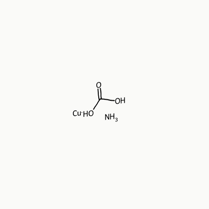 N.O=C(O)O.[Cu]